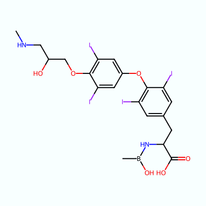 CNCC(O)COc1c(I)cc(Oc2c(I)cc(CC(NB(C)O)C(=O)O)cc2I)cc1I